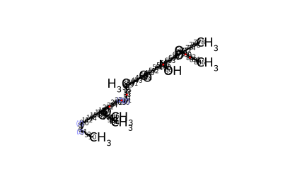 CCCCC/C=C\C/C=C\CCCCCCCCC(CCCCCCCC/C=C\C/C=C\CCCCCC(C)CCCCCCCOC(=O)CCCCCCCN(CCO)CCCCCCCOC(=O)C(CCCCCCCC)CCCCCCCC)OC(=O)CCCN(C)C